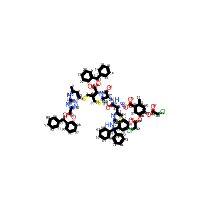 Cc1cc(SCC2=C(C(=O)OC(c3ccccc3)c3ccccc3)N3C(=O)[C@@H](NC(=O)C(=NOC(=O)c4cc(OC(=O)CCl)c(OC(=O)CCl)cc4C)c4csc(NC(c5ccccc5)(c5ccccc5)c5ccccc5)n4)[C@H]3SC2)n2nc(C(=O)OC(c3ccccc3)c3ccccc3)nc2n1